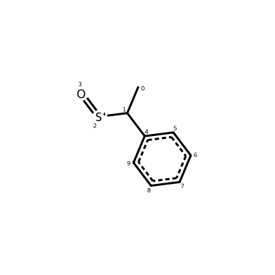 CC([S+]=O)c1ccccc1